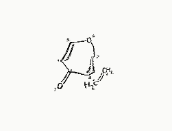 C=C.O=c1ccocc1